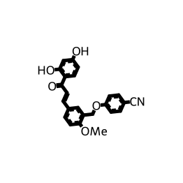 COc1ccc(/C=C/C(=O)c2ccc(O)cc2O)cc1COc1ccc(C#N)cc1